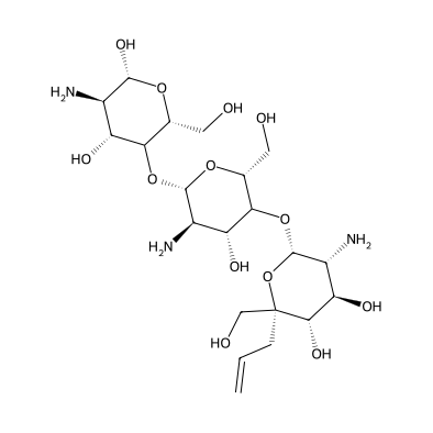 C=CC[C@]1(CO)O[C@H](OC2[C@@H](CO)O[C@@H](OC3[C@@H](CO)O[C@@H](O)[C@H](N)[C@H]3O)[C@H](N)[C@H]2O)[C@H](N)[C@@H](O)[C@@H]1O